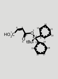 CC(C)(C)[Si](OC(=O)/C=C\C(=O)O)(c1ccccc1)c1ccccc1